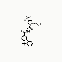 CC1(C)c2ccccc2-c2cc(C(=O)NCC(=O)N3C[C@H](S(C)(=O)=O)C[C@H]3C(=O)O)ccc21